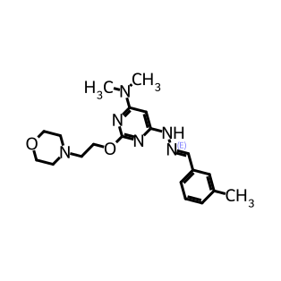 Cc1cccc(/C=N/Nc2cc(N(C)C)nc(OCCN3CCOCC3)n2)c1